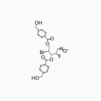 CO/N=C\[C@@H](F)[C@H](OC(=O)c1ccc(CO)cc1)[C@@H](Br)COC(=O)c1ccc(CO)cc1